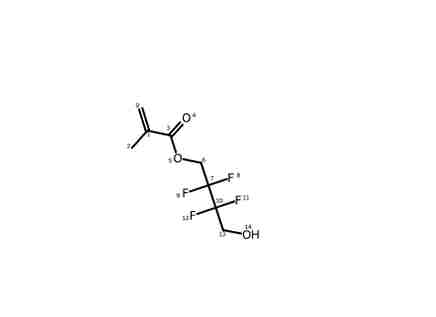 C=C(C)C(=O)OCC(F)(F)C(F)(F)CO